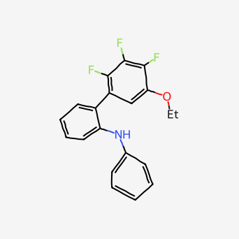 CCOc1cc(-c2ccccc2Nc2ccccc2)c(F)c(F)c1F